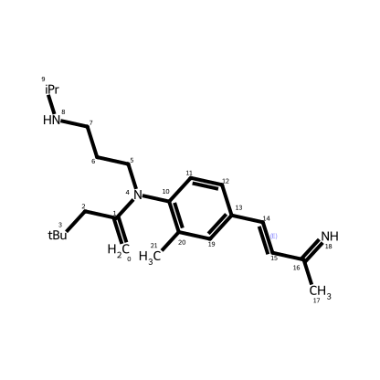 C=C(CC(C)(C)C)N(CCCNC(C)C)c1ccc(/C=C/C(C)=N)cc1C